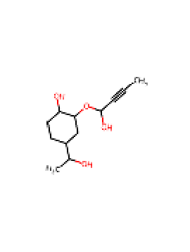 CC#CC(O)OC1CC(C(C)O)CCC1O